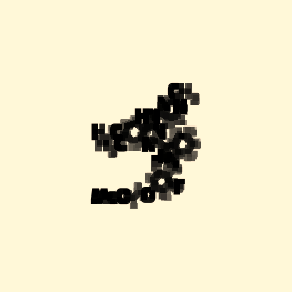 COCCOc1cc(F)c(Cn2nc(-c3nc4c(c(Nc5ccnc(C)n5)n3)CCC(C)(C)C4)c3ccccc32)c(F)c1